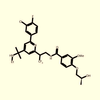 CCNC(C)(C)c1cc(-c2ccc(F)c(Cl)c2)nc(C(CNC(=O)c2ccc(OC[C@H](C)O)c(OC)c2)C(F)(F)F)c1